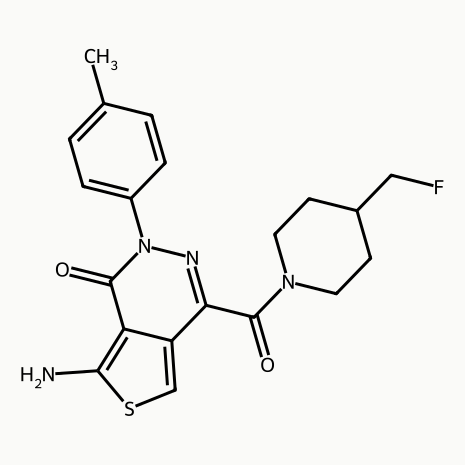 Cc1ccc(-n2nc(C(=O)N3CCC(CF)CC3)c3csc(N)c3c2=O)cc1